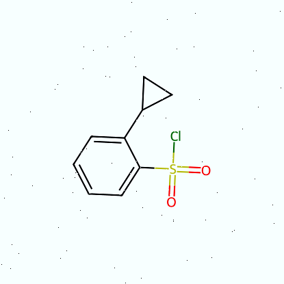 O=S(=O)(Cl)c1ccccc1C1CC1